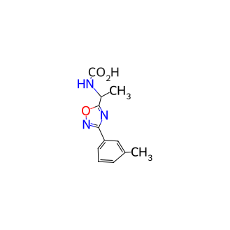 Cc1cccc(-c2noc(C(C)NC(=O)O)n2)c1